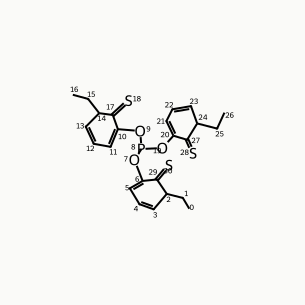 CCC1C=CC=C(OP(OC2=CC=CC(CC)C2=S)OC2=CC=CC(CC)C2=S)C1=S